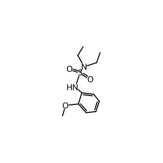 CCN(CC)S(=O)(=O)Nc1ccccc1OC